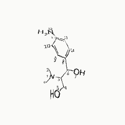 CN(C)C(CO)C(O)c1ccc(N)cc1